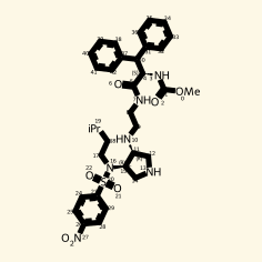 COC(=O)N[C@H](C(=O)NCCN[C@@H]1CNC[C@H]1N(CCC(C)C)S(=O)(=O)c1ccc([N+](=O)[O-])cc1)C(c1ccccc1)c1ccccc1